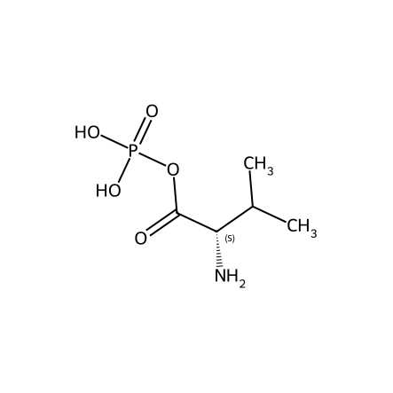 CC(C)[C@H](N)C(=O)OP(=O)(O)O